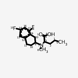 CCCC(C(=O)O)N(C)C1CCc2cc(F)cc(F)c2C1